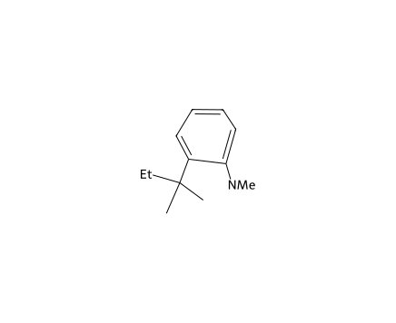 CCC(C)(C)c1ccccc1NC